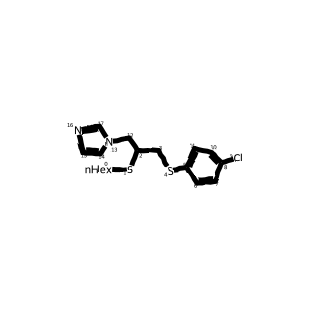 CCCCCCSC(CSc1ccc(Cl)cc1)Cn1ccnc1